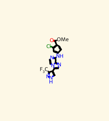 COC(=O)c1ccc(Nc2nccn3c(-c4c[nH]nc4C(F)(F)F)cnc23)cc1Cl